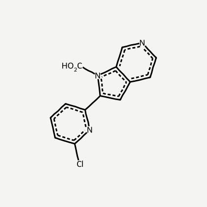 O=C(O)n1c(-c2cccc(Cl)n2)cc2ccncc21